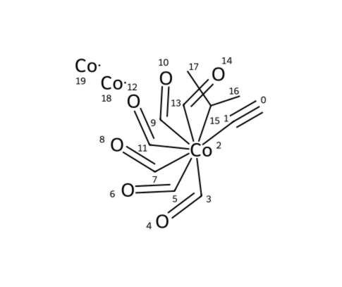 C#[C][Co]([CH]=O)([CH]=O)([CH]=O)([CH]=O)([CH]=O)([CH]=O)[CH](C)C.[Co].[Co]